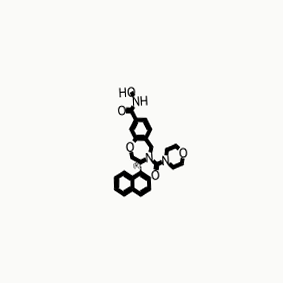 O=C(NO)c1ccc2c(c1)OC[C@@H](c1cccc3ccccc13)N(C(=O)N1CCOCC1)C2